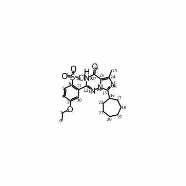 CCOc1ccc(S(=O)(=O)Cl)c(-c2nn3c(C4CCCCCC4)nc(C)c3c(=O)[nH]2)c1